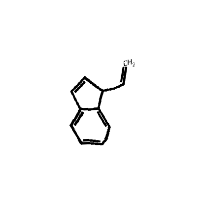 C=C[C]1C=Cc2ccccc21